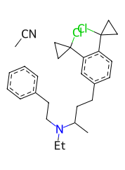 CC#N.CCN(CCc1ccccc1)C(C)CCc1ccc(C2(Cl)CC2)c(C2(Cl)CC2)c1